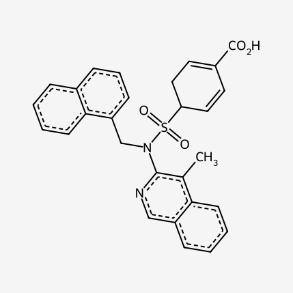 Cc1c(N(Cc2cccc3ccccc23)S(=O)(=O)C2C=CC(C(=O)O)=CC2)ncc2ccccc12